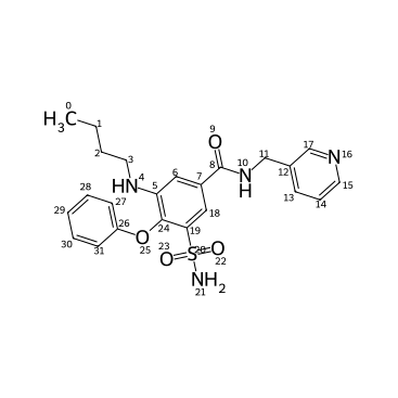 CCCCNc1cc(C(=O)NCc2cccnc2)cc(S(N)(=O)=O)c1Oc1ccccc1